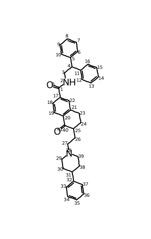 O=C(NCC(c1ccccc1)c1ccccc1)c1ccc2c(c1)CCC(CCN1CCC(c3ccccc3)CC1)C2=O